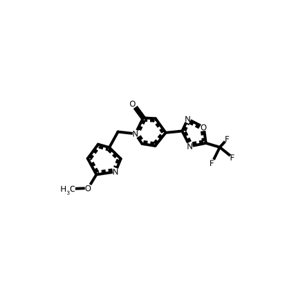 COc1ccc(Cn2ccc(-c3noc(C(F)(F)F)n3)cc2=O)cn1